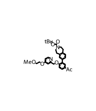 COCCOc1ccnc(COc2ccc(C(C)=O)cc2-c2ccc3c(c2)CCN(C(=O)OC(C)(C)C)CC3)c1